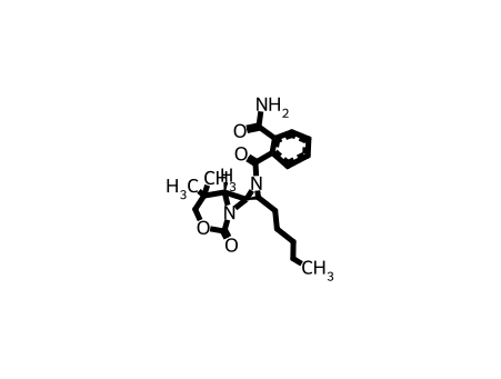 CCCCCC1N(C(=O)c2ccccc2C(N)=O)[C@]12[C@@H]1N2C(=O)OCC1(C)C